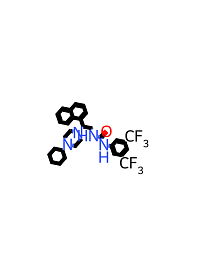 O=C(NCC(c1cccc2ccccc12)N1CCN(C2CCCCC2)CC1)Nc1cc(C(F)(F)F)cc(C(F)(F)F)c1